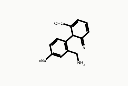 CCCCc1ccc(C2C(=S)C=CC=C2C=O)c(CN)c1